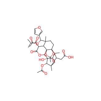 CC(=O)OC(c1ccoc1)C1(C)CCC23OC4(C)OC25C1C(C(=O)C(C)C)C(=O)OC5C1(O)C(OC(C)=O)C2(C)CC1(O4)C3(C)C2CC(=O)O